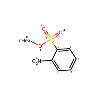 CCCCCCOS(=O)(=O)c1ccccc1[N+](=O)[O-]